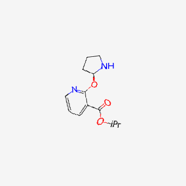 CC(C)OC(=O)c1cccnc1O[C@H]1CCCN1